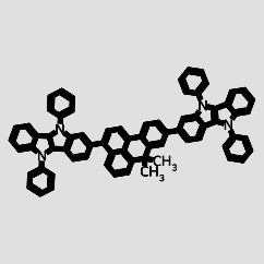 CC1(C)c2cc(-c3ccc4c(c3)n(-c3ccccc3)c3c5ccccc5n(-c5ccccc5)c43)ccc2-c2ccc(-c3ccc4c(c3)N(c3ccccc3)C3c5ccccc5N(c5ccccc5)C43)c3cccc1c23